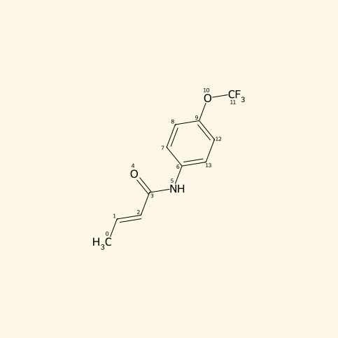 C/C=C/C(=O)Nc1ccc(OC(F)(F)F)cc1